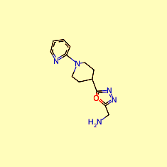 NCc1nnc(C2CCN(c3ccccn3)CC2)o1